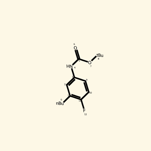 CCCCc1cc(NC(=O)OC(C)(C)C)ccc1F